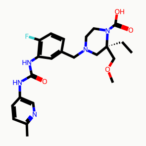 CC[C@]1(COC)CN(Cc2ccc(F)c(NC(=O)Nc3ccc(C)nc3)c2)CCN1C(=O)O